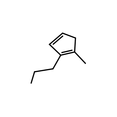 CCCC1=C(C)CC=C1